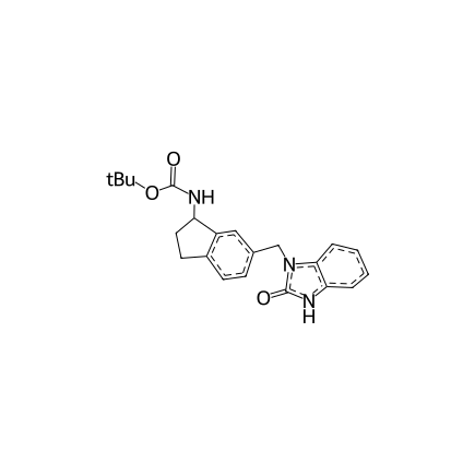 CC(C)(C)OC(=O)NC1CCc2ccc(Cn3c(=O)[nH]c4ccccc43)cc21